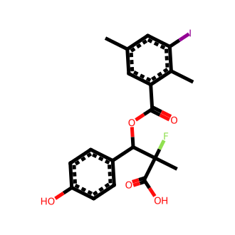 Cc1cc(I)c(C)c(C(=O)OC(c2ccc(O)cc2)C(C)(F)C(=O)O)c1